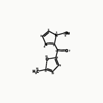 CCCCn1ccnc1C(=O)c1ccc(C)o1